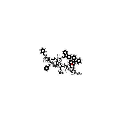 CC[C@H](C)[C@H](NC(=O)[C@@H](CCCN(C(=N)NC(=O)OCc1ccccc1)C(=O)OCc1ccccc1)NC(=O)OCC1c2ccccc2-c2ccccc21)C(=O)N[C@H](C(=O)NCC(=O)N[C@@H](CC(=O)NC(c1ccccc1)(c1ccccc1)c1ccccc1)C(=O)N[C@@H](COC(C)(C)C)C(=O)OC)[C@H](C)OC(C)(C)C